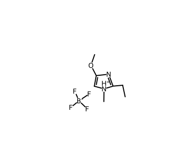 CCC1=NC(OC)=C[NH+]1C.F[B-](F)(F)F